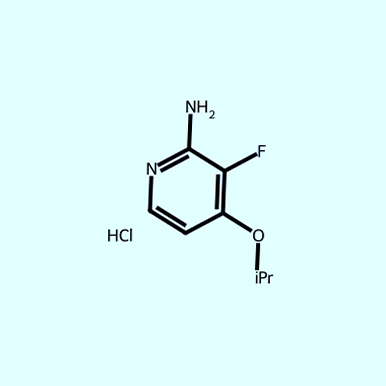 CC(C)Oc1ccnc(N)c1F.Cl